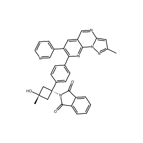 Cc1cc2ncc3cc(-c4cccnc4)c(-c4ccc([C@]5(N6C(=O)c7ccccc7C6=O)C[C@@](C)(O)C5)cc4)nc3n2n1